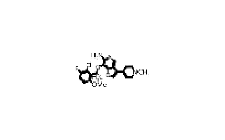 COc1ccc(F)c(Cl)c1[C@@H](C)Oc1c(N)ncc2c(C3=CCN(C)CC3)coc12